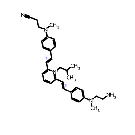 CC(C)C[n+]1c(/C=C/c2ccc(N(C)CCN)cc2)cccc1/C=C/c1ccc(N(C)CCC#N)cc1